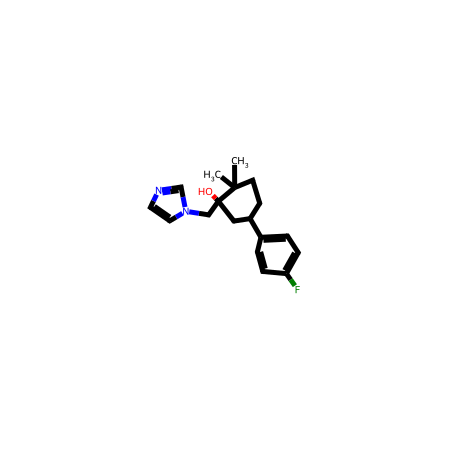 CC1(C)CCC(c2ccc(F)cc2)CC1(O)Cn1ccnc1